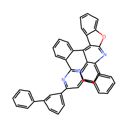 c1ccc(-c2cccc(-c3cc(-c4ccccc4)nc(-c4ccccc4-c4c5ccccc5nc5oc6ccccc6c45)n3)c2)cc1